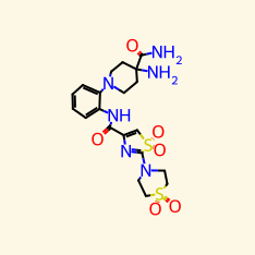 NC(=O)C1(N)CCN(c2ccccc2NC(=O)C2=CS(=O)(=O)C(N3CCS(=O)(=O)CC3)=N2)CC1